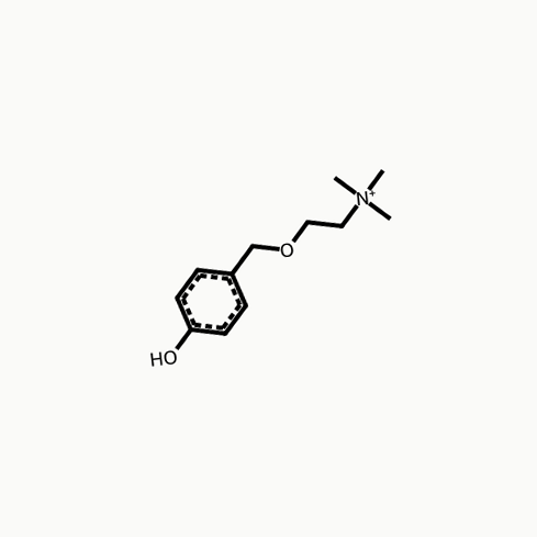 C[N+](C)(C)CCOCc1ccc(O)cc1